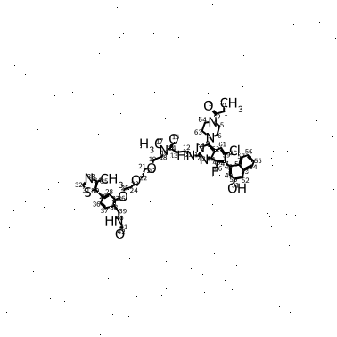 CCC(=O)N1CCN(c2nc(NCCC(=O)N(C)CCOCCOCCOc3cc(-c4scnc4C)ccc3CNC=O)nc3c(F)c(-c4cc(O)cc5ccccc45)c(Cl)cc23)CC1